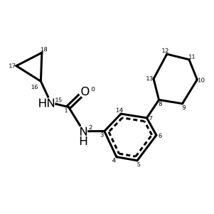 O=C(Nc1cccc(C2CCCCC2)c1)NC1CC1